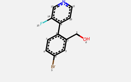 OCc1cc(Br)ccc1-c1ccncc1F